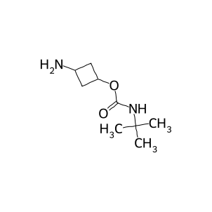 CC(C)(C)NC(=O)OC1CC(N)C1